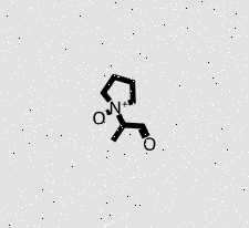 CC(C=O)[N+]1([O-])CCCC1